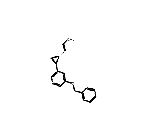 CO/C=C/[C@H]1C[C@@H]1c1cncc(OCc2ccccc2)c1